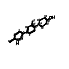 C=C1C=CC(c2ccc(N3CCC(O)CC3)c(C)c2)=NN1